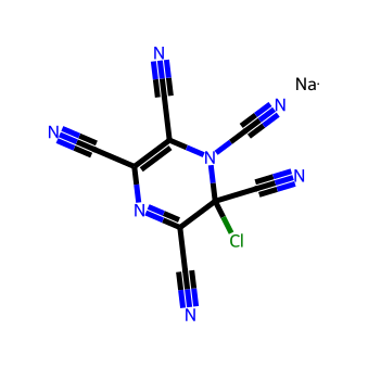 N#CC1=NC(C#N)=C(C#N)N(C#N)C1(Cl)C#N.[Na]